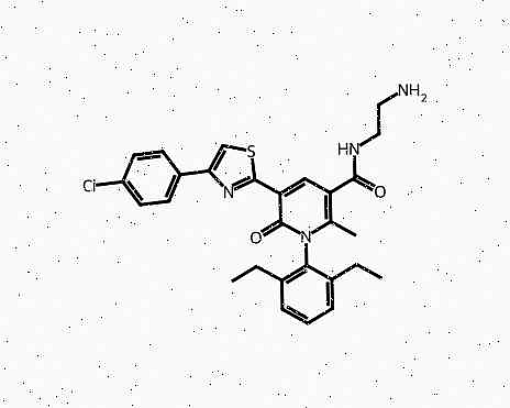 CCc1cccc(CC)c1-n1c(C)c(C(=O)NCCN)cc(-c2nc(-c3ccc(Cl)cc3)cs2)c1=O